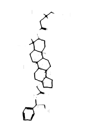 CC(C)(CC(=O)O)CC(=O)O[C@H]1CC[C@@]2(C)C(CC[C@]3(C)C2CC[C@@H]2[C@H]4CCC[C@]4(CC(=O)N[C@@H](CO)c4ccccc4)CC[C@]23C)C1(C)C